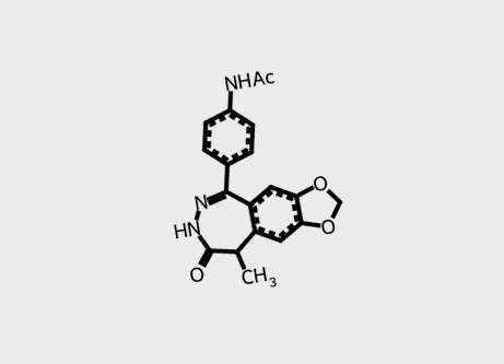 CC(=O)Nc1ccc(C2=NNC(=O)C(C)c3cc4c(cc32)OCO4)cc1